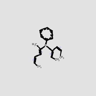 C/C=C\C=C(/C)P(C(/C=C\C)=C/C)c1ccccc1